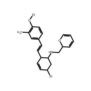 CCOc1ccc(C=CC2C=CC(CC)CC2NCC2C=CC=CO2)cc1C